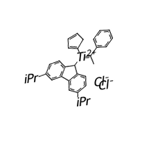 C/[C](c1ccccc1)=[Ti+2](/[C]1=CC=CC1)[CH]1c2ccc(C(C)C)cc2-c2cc(C(C)C)ccc21.[Cl-].[Cl-]